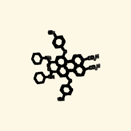 CC(C)(C)c1ccc(Oc2cc(C(=O)NC3CCCCC3)c3c(C(=O)NC4CCCCC4)cc(Oc4ccc(C(C)(C)C)cc4)c4c5ccc(C(=O)O)c6c(C(=O)O)ccc(c2c34)c65)cc1